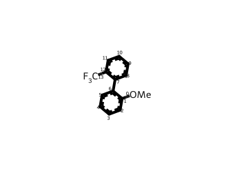 COc1ccccc1-c1[c]cccc1C(F)(F)F